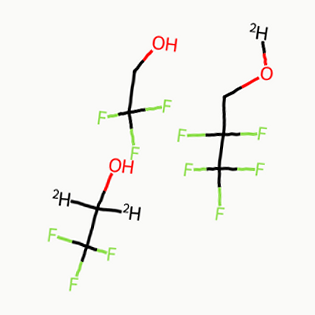 OCC(F)(F)F.[2H]C([2H])(O)C(F)(F)F.[2H]OCC(F)(F)C(F)(F)F